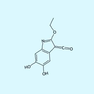 CCOC1=Nc2cc(O)c(O)cc2C1=C=O